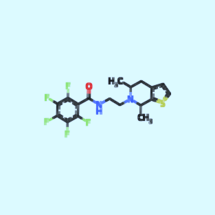 CC1Cc2ccsc2C(C)N1CCNC(=O)c1c(F)c(F)c(F)c(F)c1F